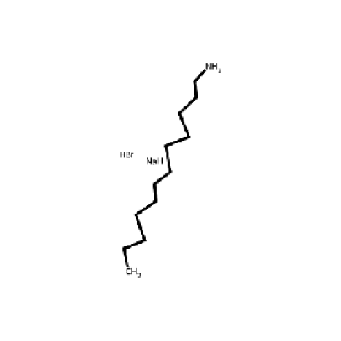 Br.CCCCCCCCCCCCN.[NaH]